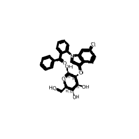 O=C(c1ccccc1)c1ccccc1-n1cc(O[C@@H]2[C@@H](O)[C@H](O)[C@@H](CO)O[C@H]2O)c2ccc(Cl)cc21